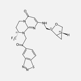 O=C(CN1c2nc(NC[C@H]3OC[C@@H]4CC43)cc(=O)n2CC[C@H]1C(F)(F)F)c1ccc2snnc2c1